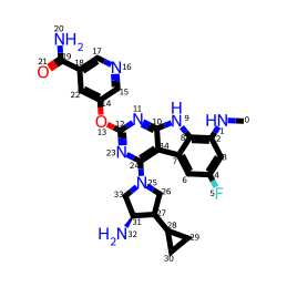 CNc1cc(F)cc2c1[nH]c1nc(Oc3cncc(C(N)=O)c3)nc(N3CC(C4CC4)[C@@H](N)C3)c12